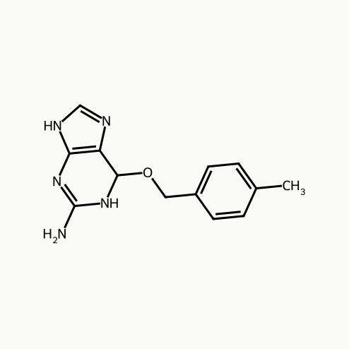 Cc1ccc(COC2NC(N)=Nc3[nH]cnc32)cc1